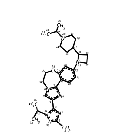 Cc1nc(-c2cn3c(n2)-c2ccc(N4CCC4C4CCN(C(C)C)CC4)cc2OCC3)n(C(C)C)n1